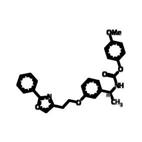 COc1ccc(OC(=O)N[C@@H](C)c2cccc(OCCc3coc(-c4ccccc4)n3)c2)cc1